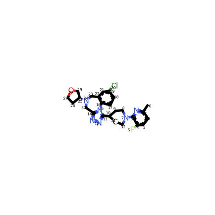 Cc1ccc(F)c(N2CCC(c3nnc4n3-c3ccc(Cl)cc3CN([C@@H]3CCOC3)C4)CC2)n1